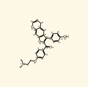 CN(C)CCOc1ccc(C(=O)c2oc3cc4c(cc3c2-c2ccc(O)cc2)CC=CO4)cc1